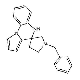 c1ccc(CN2CCC3(C2)Nc2ccccc2-n2cccc23)cc1